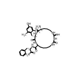 Cc1cc(O)cc(C)c1C[C@@H]1NC(=O)[C@H](N)CCCNC(=N)NC(=O)NCCCCC(C(=O)N[C@@H](Cc2ccccc2)C(N)=O)NC1=O